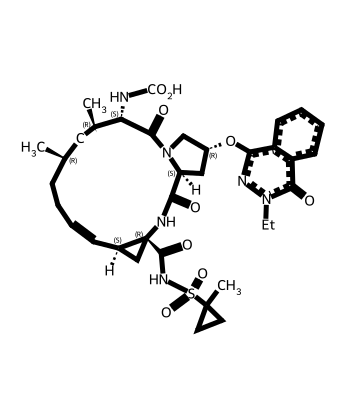 CCn1nc(O[C@@H]2C[C@H]3C(=O)N[C@]4(C(=O)NS(=O)(=O)C5(C)CC5)C[C@H]4C=CCC[C@@H](C)C[C@@H](C)[C@H](NC(=O)O)C(=O)N3C2)c2ccccc2c1=O